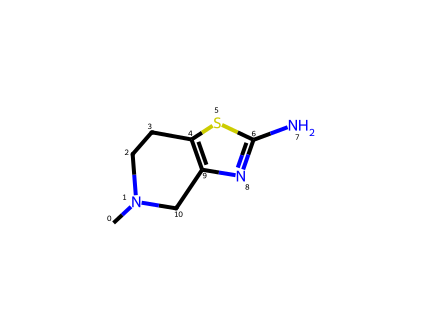 CN1CCc2sc(N)nc2C1